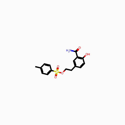 Cc1ccc(S(=O)(=O)OCCc2ccc(O)c(C(N)=O)c2)cc1